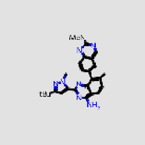 CNc1ncc2cc(-c3c(C)ccc4c(N)nc(-c5cc(C(C)(C)C)nn5C)nc34)ccc2n1